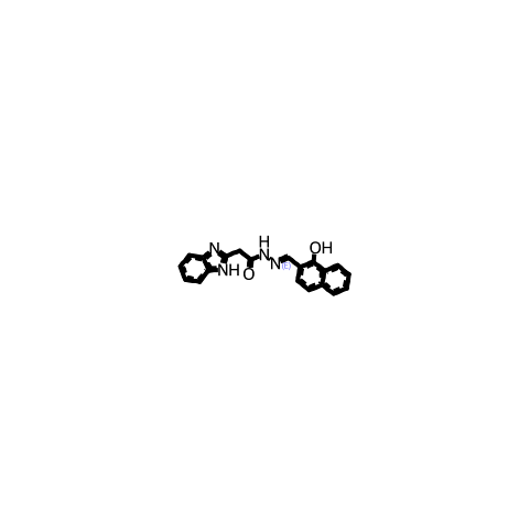 O=C(Cc1nc2ccccc2[nH]1)N/N=C/c1ccc2ccccc2c1O